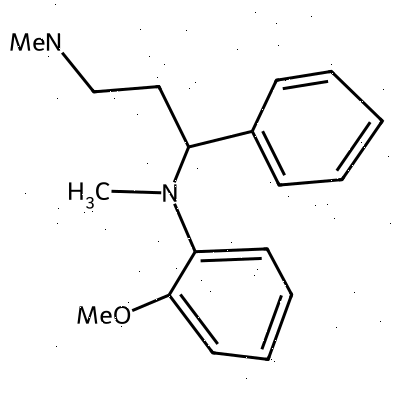 CNCCC(c1ccccc1)N(C)c1ccccc1OC